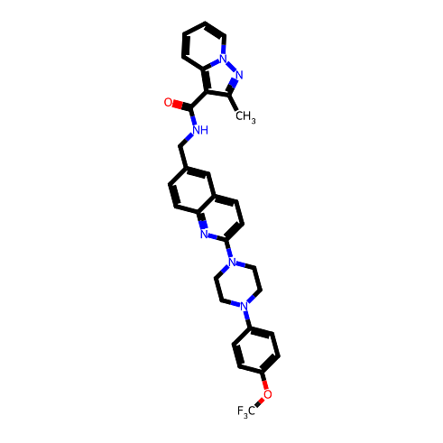 Cc1nn2ccccc2c1C(=O)NCc1ccc2nc(N3CCN(c4ccc(OC(F)(F)F)cc4)CC3)ccc2c1